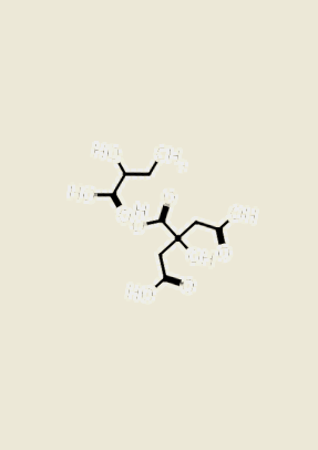 CCC(O)C(=O)O.O=C(O)CC(O)(CC(=O)O)C(=O)O